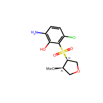 CO[C@@H]1COC[C@@H]1S(=O)(=O)c1c(Cl)ccc(N)c1O